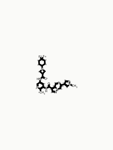 Cc1ncc(NC(=O)C2CN(C3CCC(F)(F)CC3)C2)cc1NC(=O)c1cnn2cc(-c3cnn(C)c3)ncc12